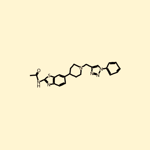 CC(=O)Nc1nc2ccc(C3CCN(Cc4cn(-c5ccccc5)nn4)CC3)cc2s1